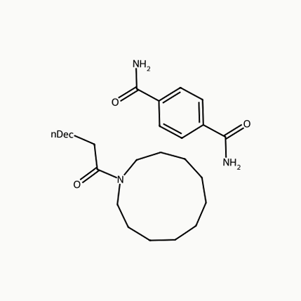 CCCCCCCCCCCC(=O)N1CCCCCCCCCC1.NC(=O)c1ccc(C(N)=O)cc1